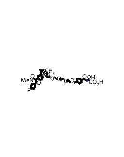 CNC(=O)c1c(-c2ccc(F)cc2)oc2cc(N(CCOCCOCCOCCOCc3ccc(C(=O)/C=C(\O)C(=O)O)cc3)S(C)(=O)=O)c(C3CC3)cc12